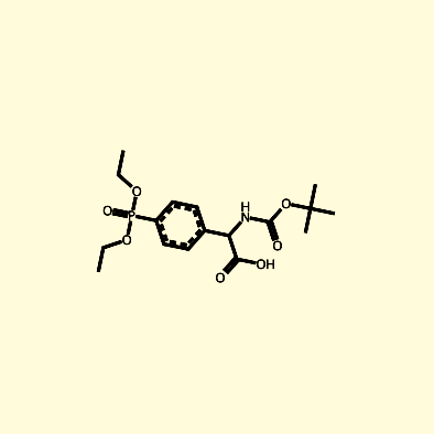 CCOP(=O)(OCC)c1ccc(C(NC(=O)OC(C)(C)C)C(=O)O)cc1